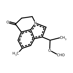 Cc1cc2c3c(c1)c(C(C)OC=O)cn3CCC2=O